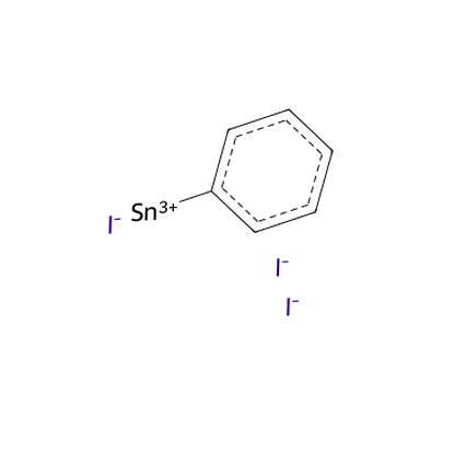 [I-].[I-].[I-].[Sn+3][c]1ccccc1